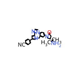 CC(C)(N)[C@H]1CC(=O)N(c2ccc3c(c2)Cn2cc(-c4ccc(C#N)cc4)cc2-c2nccn2-3)C1